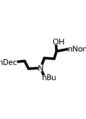 CCCCCCCCCCCCN(CCCC)CCC(O)CCCCCCCCC